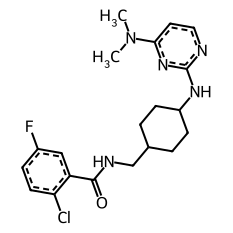 CN(C)c1ccnc(NC2CCC(CNC(=O)c3cc(F)ccc3Cl)CC2)n1